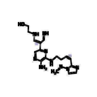 C=Nn1ccnc1/C=C\CCNc1nc(/C(C=N)=C/NCCO)cnc1N